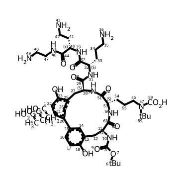 CC(=O)O.CC(=O)O.CC(=O)O.CC(C)(C)OC(=O)N[C@H]1Cc2cc(ccc2O)-c2ccc(O)c(c2)C[C@@H](C(=O)N[C@@H](CCCN)C(=O)N[C@@H](CCN)C(=O)NCCN)NC(=O)[C@H](CCCN(C(=O)O)C(C)(C)C)NC1=O